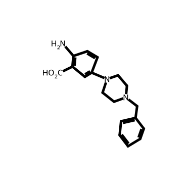 Nc1ccc(N2CCN(Cc3ccccc3)CC2)cc1C(=O)O